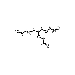 O=CCOCC(COCN=O)OCC=O